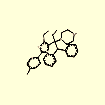 CCc1[nH]c(-c2ccc(C)cc2)nc1C(CC)(C(c1ccccc1)c1ccccc1)N1CCNCC1